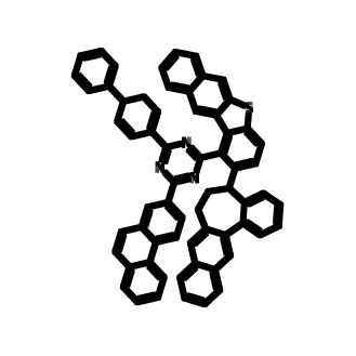 C1=CC(c2ccccc2)CC=C1c1nc(-c2ccc3c(ccc4ccccc43)c2)nc(-c2c(C3CCc4cc5ccccc5cc4-c4ccccc43)ccc3sc4cc5ccccc5cc4c23)n1